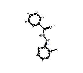 Cn1cccn/c1=N\NC(=O)c1ccccc1